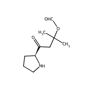 CC(C)(CC(=O)[C@@H]1CCCN1)O[C]=O